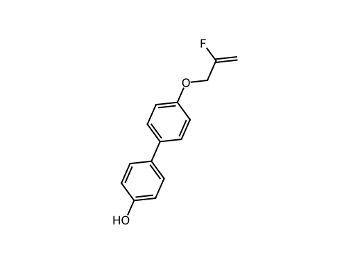 C=C(F)COc1ccc(-c2ccc(O)cc2)cc1